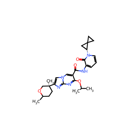 CC(C)Oc1nc2nc([C@@]3(C)CCC(C)OC3)cn2cc1C(=O)Nc1cccn([C@@H]2CC23CC3)c1=O